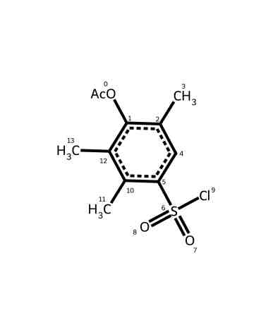 CC(=O)Oc1c(C)cc(S(=O)(=O)Cl)c(C)c1C